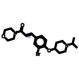 CC(C)N1CCC(Oc2ccc(/C=C/C(=O)N3CCOCC3)cc2Br)CC1